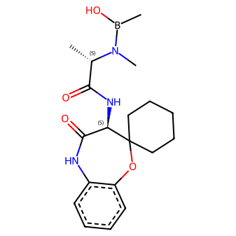 CB(O)N(C)[C@@H](C)C(=O)N[C@@H]1C(=O)Nc2ccccc2OC12CCCCC2